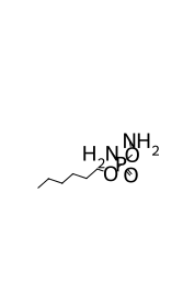 CCCCCCOP(N)(=O)ON